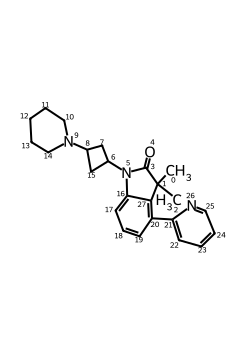 CC1(C)C(=O)N(C2CC(N3CCCCC3)C2)c2cccc(-c3ccccn3)c21